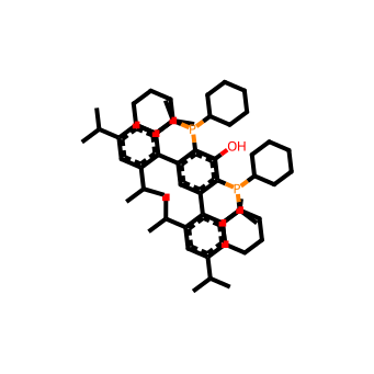 CC(C)c1cc(C(C)C)c(-c2cc(-c3c(C(C)C)cc(C(C)C)cc3C(C)C)c(P(C3CCCCC3)C3CCCCC3)c(O)c2P(C2CCCCC2)C2CCCCC2)c(C(C)C)c1